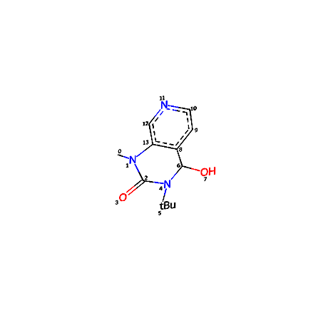 CN1C(=O)N(C(C)(C)C)C(O)c2ccncc21